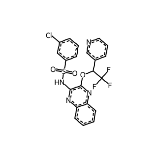 O=S(=O)(Nc1nc2ccccc2nc1OC(c1cccnc1)C(F)(F)F)c1cccc(Cl)c1